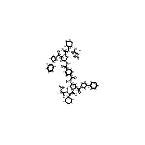 CN[C@@H](C)C(=O)N[C@H](C(=O)N1C[C@@H](NC(=O)c2ccc(C(=O)N[C@H]3C[C@@H](C(=O)N4CC[C@@H](c5ccccc5)C4)N(C(=O)[C@@H](NC(=O)[C@H](C)NC)C4CCCCC4)C3)cc2)C[C@H]1C(=O)N1CC[C@@H](c2ccccc2)C1)C1CCCCC1